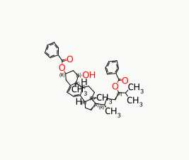 CC(C)[C@@H](CC[C@@H](C)[C@H]1CC[C@H]2C3=CC=C4C[C@@H](OC(=O)c5ccccc5)C[C@H](O)[C@]4(C)[C@H]3CC[C@]12C)OC(=O)c1ccccc1